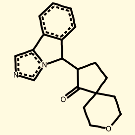 O=C1C(C2c3ccccc3-c3cncn32)CCC12CCOCC2